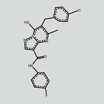 Cc1nc2c(C(=O)Nc3ccc(F)cc3)cnn2c(O)c1Cc1ccc(Cl)cc1